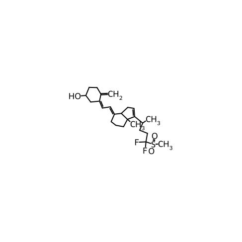 C=C1CCC(O)C/C1=C/C=C1\CCCC2(C)C(C(C)CCC(F)(F)S(C)(=O)=O)=CCC12